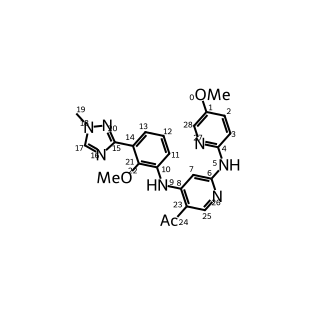 COc1ccc(Nc2cc(Nc3cccc(-c4ncn(C)n4)c3OC)c(C(C)=O)cn2)nc1